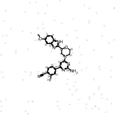 COc1ccc2[nH]c(C3CN(c4cc(-c5ccc(C#N)c(F)c5)nc(N)n4)CCO3)nc2c1